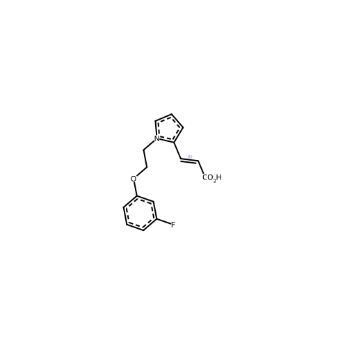 O=C(O)/C=C/c1cccn1CCOc1cccc(F)c1